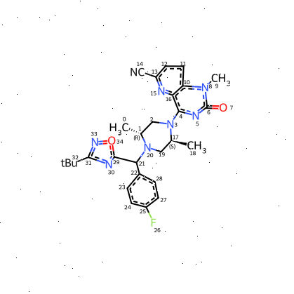 C[C@@H]1CN(c2nc(=O)n(C)c3ccc(C#N)nc23)[C@@H](C)CN1C(c1ccc(F)cc1)c1nc(C(C)(C)C)no1